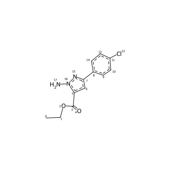 CCOC(=O)c1cc(-c2ccc(Cl)cc2)nn1N